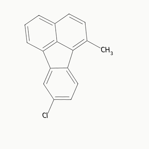 Cc1ccc2cccc3c2c1-c1ccc(Cl)cc1-3